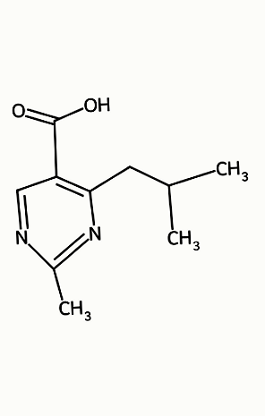 Cc1ncc(C(=O)O)c(CC(C)C)n1